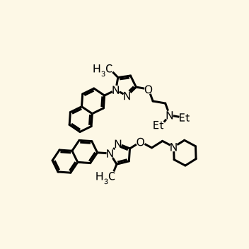 CCN(CC)CCOc1cc(C)n(-c2ccc3ccccc3c2)n1.Cc1cc(OCCN2CCCCC2)nn1-c1ccc2ccccc2c1